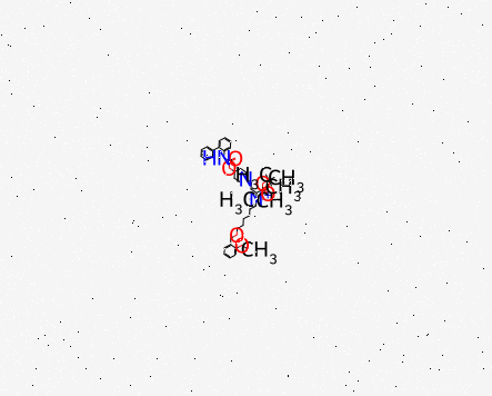 COc1ccccc1COCCCCCC[N+](C)(C)C(CCN1CCC(OC(=O)Nc2ccccc2-c2ccccc2)CC1)C(=O)OC(C)(C)C